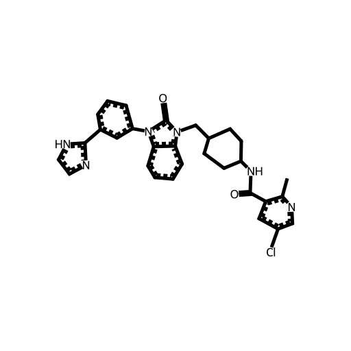 Cc1ncc(Cl)cc1C(=O)NC1CCC(Cn2c(=O)n(-c3cccc(-c4ncc[nH]4)c3)c3ccccc32)CC1